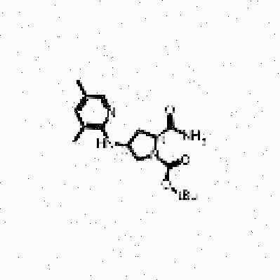 Cc1cnc(N[C@H]2C[C@@H](C(N)=O)N(C(=O)OC(C)(C)C)C2)c(C)c1